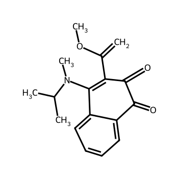 C=C(OC)C1=C(N(C)C(C)C)c2ccccc2C(=O)C1=O